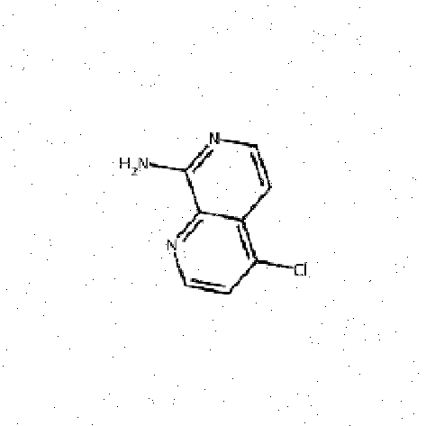 Nc1nccc2c(Cl)ccnc12